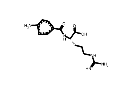 N=C(N)NCCC[C@H](NC(=O)c1ccc(N)cc1)C(=O)O